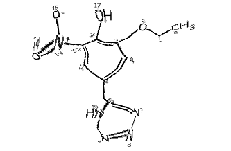 CCOc1cc(-c2nnn[nH]2)cc([N+](=O)[O-])c1O